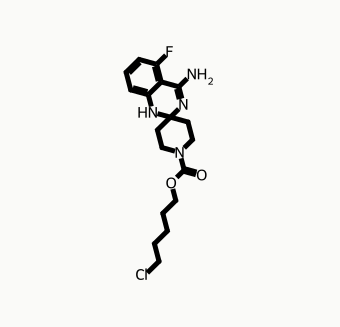 NC1=NC2(CCN(C(=O)OCCCCCCl)CC2)Nc2cccc(F)c21